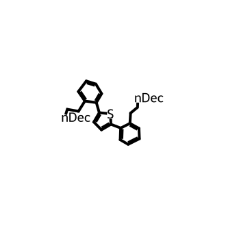 CCCCCCCCCCCCc1ccccc1-c1ccc(-c2ccccc2CCCCCCCCCCCC)s1